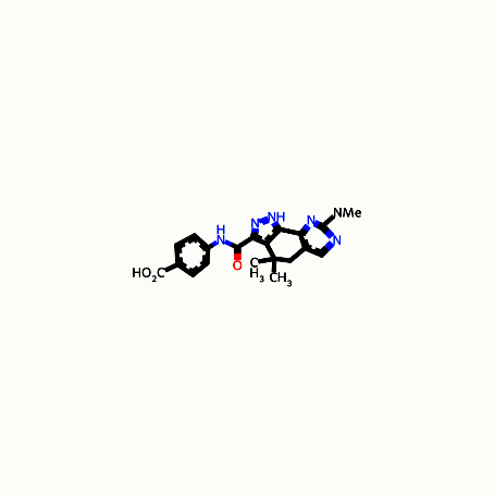 CNc1ncc2c(n1)-c1[nH]nc(C(=O)Nc3ccc(C(=O)O)cc3)c1C(C)(C)C2